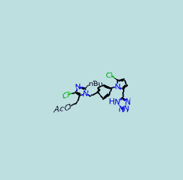 CCCCc1nc(Cl)c(COC(C)=O)n1Cc1ccc(-n2c(Cl)ccc2-c2nnn[nH]2)cc1